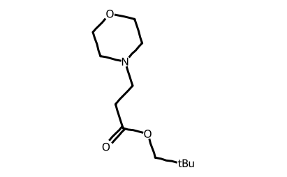 CC(C)(C)COC(=O)CCN1CCOCC1